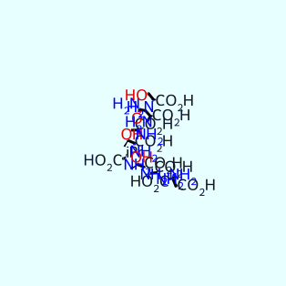 CC(C)[C@H](N)C(=O)O.C[C@@H](O)[C@H](N)C(=O)O.C[C@@H](O)[C@H](N)C(=O)O.C[C@H](N)C(=O)O.C[C@H](N)C(=O)O.NC(=O)C[C@H](N)C(=O)O.N[C@@H](CC(=O)O)C(=O)O.N[C@@H](CO)C(=O)O